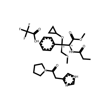 CCC(=O)N[C@H](C(=O)OC)[C@@](CSC)(OC1CC1)c1ccccc1.O=C(Cc1c[nH]cn1)N1CCCC1.O=C(O)C(F)(F)F